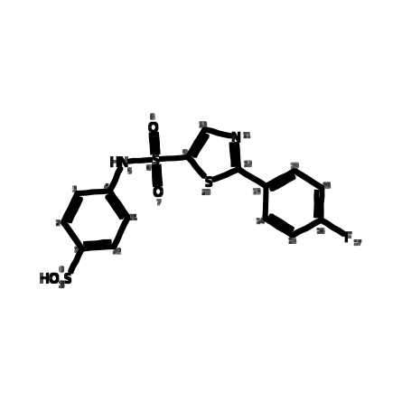 O=S(=O)(O)c1ccc(NS(=O)(=O)c2cnc(-c3ccc(F)cc3)s2)cc1